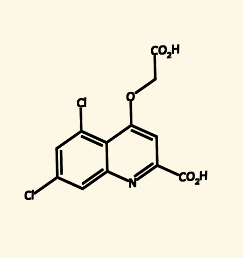 O=C(O)COc1cc(C(=O)O)nc2cc(Cl)cc(Cl)c12